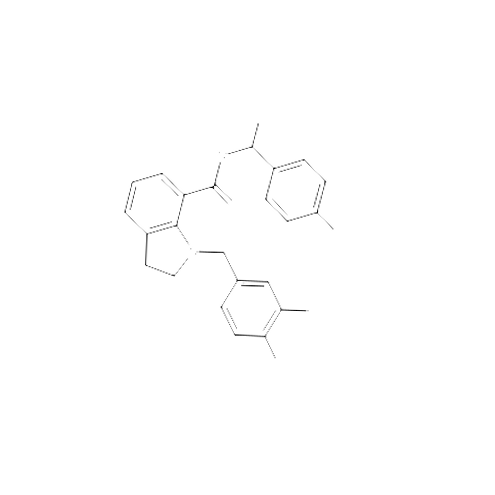 CC(NC(=O)c1cccc2c1N(Cc1ccc(Cl)c(Cl)c1)CC2)c1ccc(C(=O)O)cc1